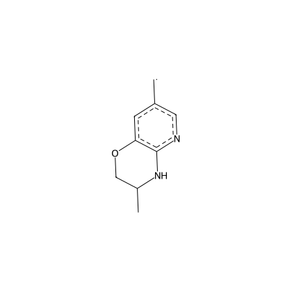 [CH2]c1cnc2c(c1)OCC(C)N2